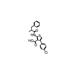 CC(Cc1ccccc1)C(=O)Nc1scc(-c2ccc(Cl)cc2)c1C(=O)O